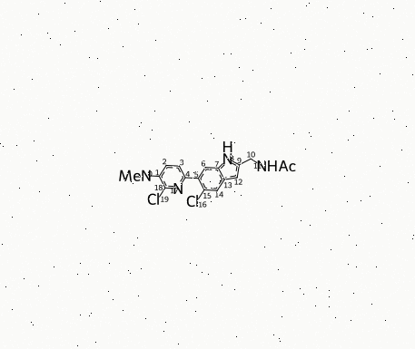 CNc1ccc(-c2cc3[nH]c(CNC(C)=O)cc3cc2Cl)nc1Cl